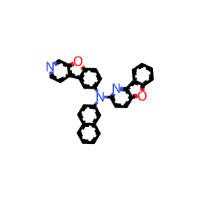 c1ccc2cc(N(c3ccc4oc5cnccc5c4c3)c3ccc4oc5ccccc5c4n3)ccc2c1